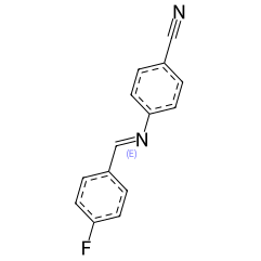 N#Cc1ccc(/N=C/c2ccc(F)cc2)cc1